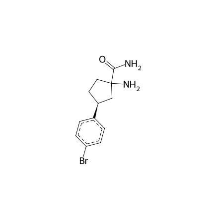 NC(=O)C1(N)CC[C@H](c2ccc(Br)cc2)C1